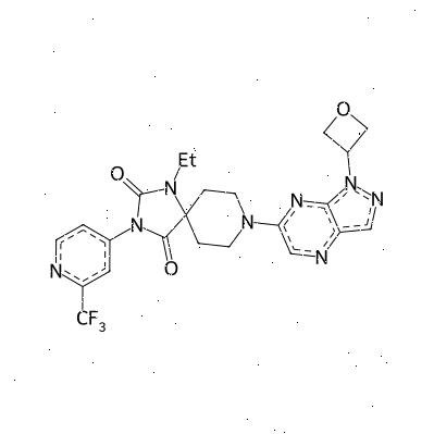 CCN1C(=O)N(c2ccnc(C(F)(F)F)c2)C(=O)C12CCN(c1cnc3cnn(C4COC4)c3n1)CC2